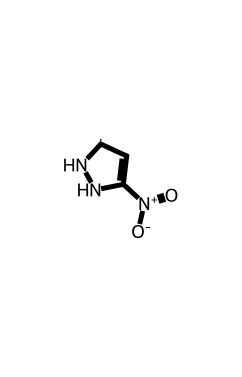 O=[N+]([O-])C1=C[CH]NN1